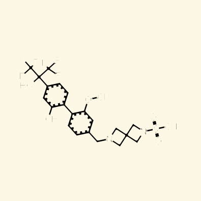 COc1cc(CN2CC3(C2)CN(S(C)(=O)=O)C3)ccc1-c1ccc(C(O)(C(F)(F)F)C(F)(F)F)cc1C